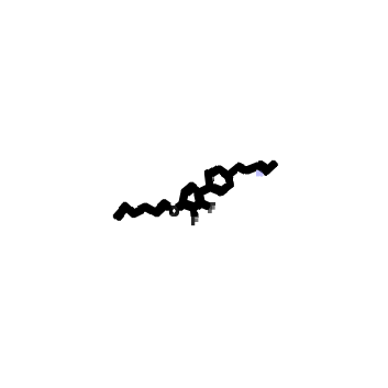 C/C=C/CCC1CC=C(c2ccc(OCCCCCC)c(F)c2F)CC1